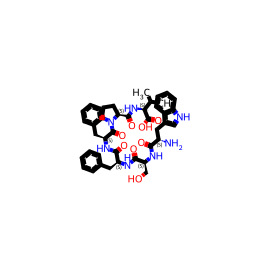 CC(C)[C@H](NC(=O)[C@@H]1CCCN1C(=O)[C@H](Cc1ccccc1)NC(=O)[C@H](Cc1ccccc1)NC(=O)[C@H](CO)NC(=O)[C@@H](N)Cc1c[nH]c2ccccc12)C(=O)O